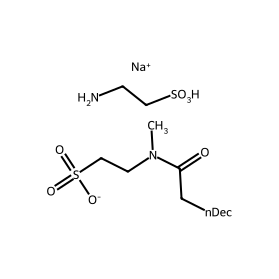 CCCCCCCCCCCC(=O)N(C)CCS(=O)(=O)[O-].NCCS(=O)(=O)O.[Na+]